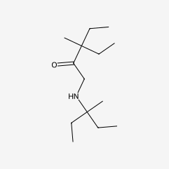 CCC(C)(CC)NCC(=O)C(C)(CC)CC